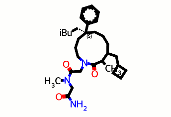 CCC(C)C[C@]1(c2ccccc2)CCCC(CC2CCC2)C(C)C(=O)N(CC(=O)N(C)CC(N)=O)CCC1